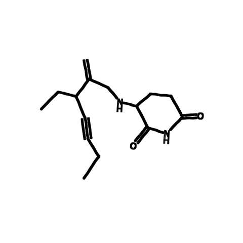 C=C(CNC1CCC(=O)NC1=O)C(C#CCC)CC